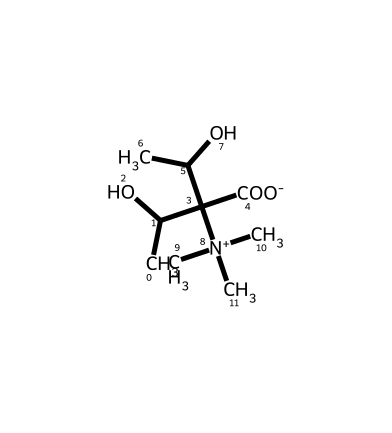 CC(O)C(C(=O)[O-])(C(C)O)[N+](C)(C)C